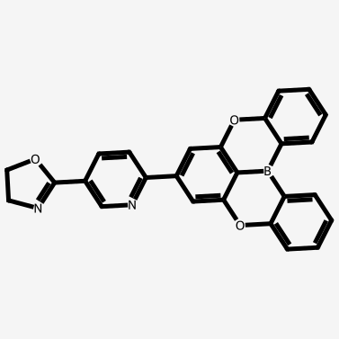 c1ccc2c(c1)Oc1cc(-c3ccc(C4=NCCO4)cn3)cc3c1B2c1ccccc1O3